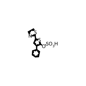 O=S(=O)(O)Oc1sc(-c2nccs2)cc1-c1ccccc1